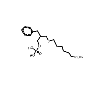 CCCCCCCCCCCCCCCCSCC(COP(=O)(O)O)Cc1ccccc1